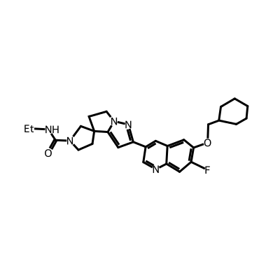 CCNC(=O)N1CCC2(CCn3nc(-c4cnc5cc(F)c(OCC6CCCCC6)cc5c4)cc32)C1